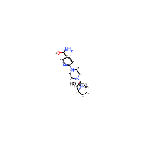 NC(=O)c1ccc(N2CCN(C3CC4CCC(C3)N4C(=O)O)CC2)nc1